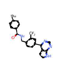 CC(C)(C)c1ccc(C(=O)NCc2ccc(-c3ncnc4[nH]ccc34)cc2C(F)(F)F)cc1